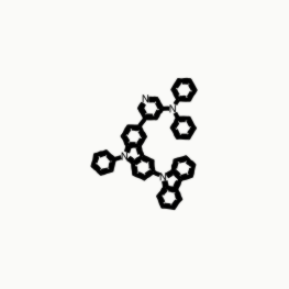 c1ccc(N(c2ccccc2)c2cncc(-c3ccc4c(c3)c3cc(-n5c6ccccc6c6ccccc65)ccc3n4-c3ccccc3)c2)cc1